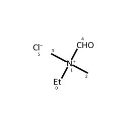 CC[N+](C)(C)C=O.[Cl-]